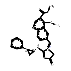 COC(=O)c1cnc2ccc(/C=S3/CC(=O)N=C3N[C@@H]3C[C@H]3c3ccccc3)cc2c1OC